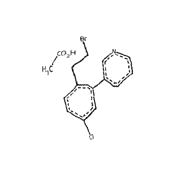 CC(=O)O.Clc1ccc(CCBr)c(-c2cccnc2)c1